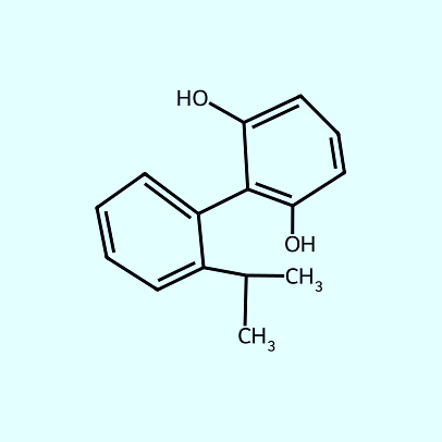 CC(C)c1ccccc1-c1c(O)cccc1O